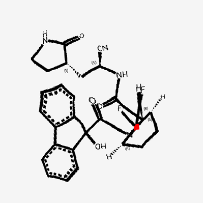 N#C[C@H](C[C@@H]1CCNC1=O)NC(=O)[C@@H]1[C@H]2CC[C@H](CC2(F)F)N1C(=O)C1(O)c2ccccc2-c2ccccc21